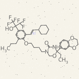 CCCc1cc(C(O)(C(F)(F)F)C(F)(F)F)cc(/C=C/C2CCCCC2)c1OCCCCN1COC(CC)(c2ccc3c(c2)OCCO3)NC1=O